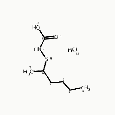 CCCCC(C)SNC(=O)O.Cl